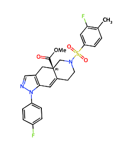 COC(=O)[C@]12Cc3cnn(-c4ccc(F)cc4)c3C=C1CCN(S(=O)(=O)c1ccc(C)c(F)c1)C2